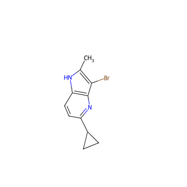 Cc1[nH]c2ccc(C3CC3)nc2c1Br